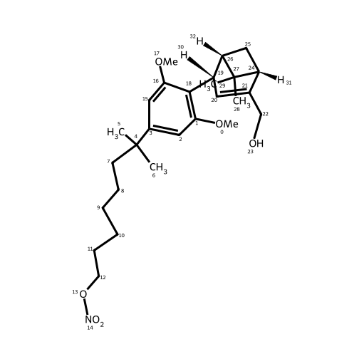 COc1cc(C(C)(C)CCCCCCO[N+](=O)[O-])cc(OC)c1[C@H]1C=C(CO)[C@H]2C[C@@H]1C2(C)C